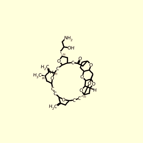 C=C1CC2CC[C@@]34C[C@H]5OC6C(O3)C3OC(CCC3OC6C5O4)CC(=O)CC3C[C@@H](CC(O)CN)OC3C[C@H]3OC(CCC1O2)C[C@@H](C)C3=C